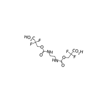 O=C(NCCNC(=O)OCC(F)(F)C(=O)O)OCC(F)(F)C(=O)O